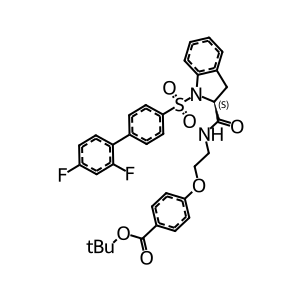 CC(C)(C)OC(=O)c1ccc(OCCNC(=O)[C@@H]2Cc3ccccc3N2S(=O)(=O)c2ccc(-c3ccc(F)cc3F)cc2)cc1